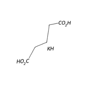 O=C(O)CCCC(=O)O.[KH]